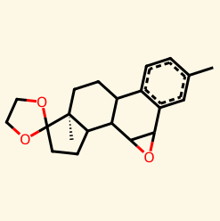 Cc1ccc2c(c1)C1OC1C1C2CC[C@@]2(C)C1CCC21OCCO1